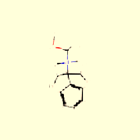 CCOC(C)[N+](C)(C)C(CC(C)C)(CC(C)C)c1ccccc1